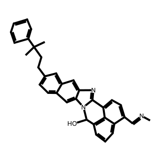 C/N=C/c1ccc2c3c(cccc13)C(O)n1c-2nc2cc3cc(CCC(C)(C)c4ccccc4)ccc3cc21